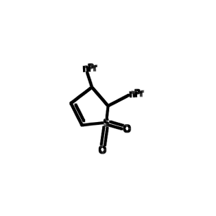 CCCC1C=CS(=O)(=O)C1CCC